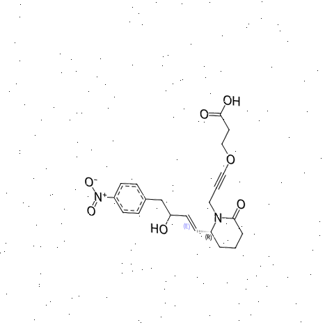 O=C(O)CCOC#CCN1C(=O)CCC[C@@H]1/C=C/C(O)Cc1ccc([N+](=O)[O-])cc1